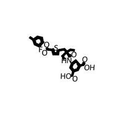 CCC(CC)(Cc1ccc(C(=O)Oc2ccc(C)cc2F)s1)C(=O)Nc1cc(C(=O)O)cc(C(=O)O)c1